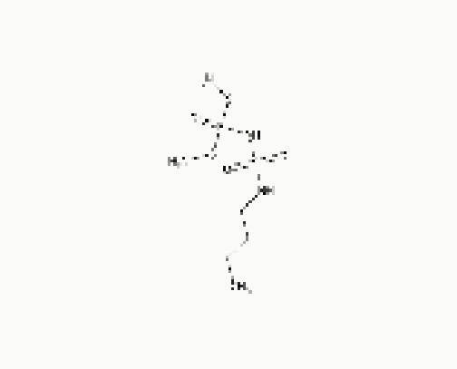 CCCCNS(=O)(=O)NP(=O)(SN)SN